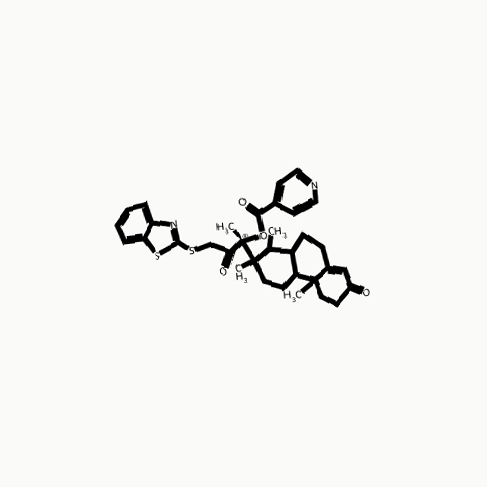 CC1C2CCC3=CC(=O)CCC3(C)C2CCC1(C)[C@@](C)(OC(=O)c1ccncc1)C(=O)CSc1nc2ccccc2s1